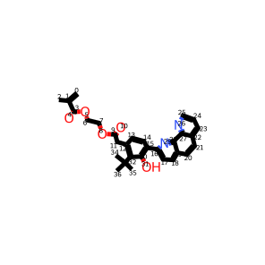 C=C(C)C(=O)OCCOC(=O)Cc1ccc(-c2ccc3ccc4cccnc4c3n2)c(O)c1C(C)(C)C